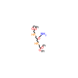 CC(C)OC(CCPCCC(CCPCCC(OC(C)C)OC(C)C)OCCN)OC(C)C